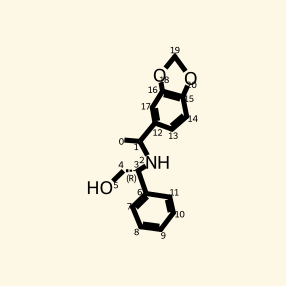 CC(N[C@@H](CO)c1ccccc1)c1ccc2c(c1)OCO2